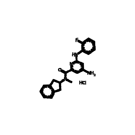 CN(C(=O)c1cc(N)cc(Nc2ccccc2F)n1)C1Cc2ccccc2C1.Cl